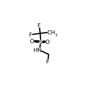 CC(F)(F)S(=O)(=O)NCF